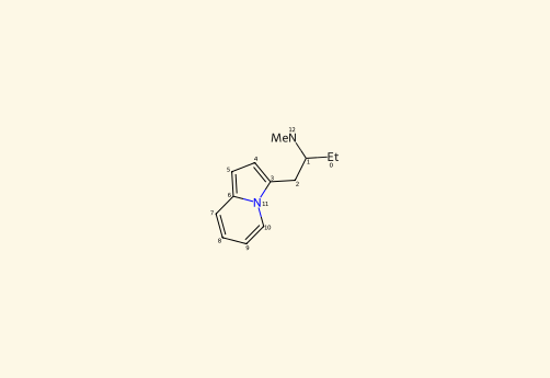 CCC(Cc1ccc2ccccn12)NC